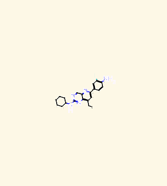 CCc1cc(-c2ccc(N)c(F)c2)nc2cnc(NC3CCCCC3)nc12